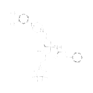 COC(=O)C(CCCCB1OC(C)(C)C(C)(C)O1)(CCCN1CCN(c2ccc(Cl)c(Cl)c2)CC1)NC(=O)OCc1ccccc1